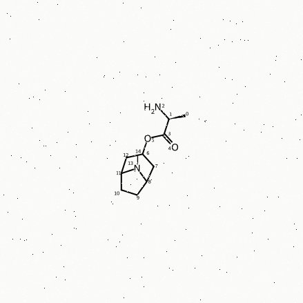 C[C@H](N)C(=O)OC1CC2CCC(C1)N2I